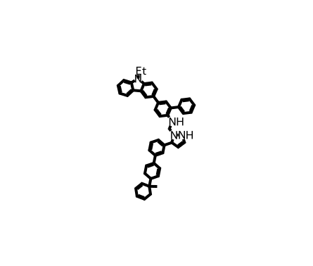 CCn1c2ccccc2c2cc(-c3ccc(NCN4NC=CC4c4cccc(C5=CCC(C6(C)C=CC=CC6)C=C5)c4)c(-c4ccccc4)c3)ccc21